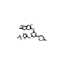 Cc1cc2cc(Oc3nc(Nc4ncc(C(C)(C)C)s4)cc(N4CCN(C)CC4)n3)c(F)cc2[nH]1